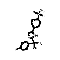 CC(O)(c1ccc(F)cc1)c1ncc(-c2ccc(S(C)(=O)=O)cc2)[nH]1